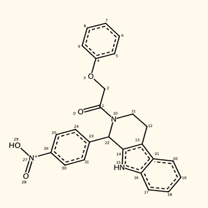 O=C(COc1ccccc1)N1CCc2c([nH]c3ccccc23)C1c1ccc([N+](=O)O)cc1